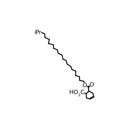 CC(C)CCCCCCCCCCCCCCCCCCCOC(=O)C1CC=CCC1C(=O)O